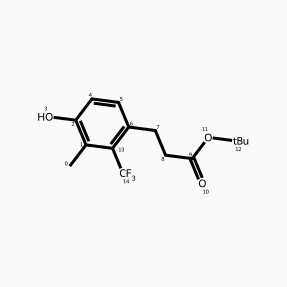 Cc1c(O)ccc(CCC(=O)OC(C)(C)C)c1C(F)(F)F